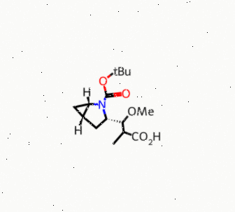 COC(C(C)C(=O)O)[C@@H]1C[C@@H]2C[C@@H]2N1C(=O)OC(C)(C)C